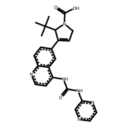 CC(C)(C)C1C(c2ccc3nccc(NC(=O)Nc4cnccn4)c3c2)=CCN1C(=O)O